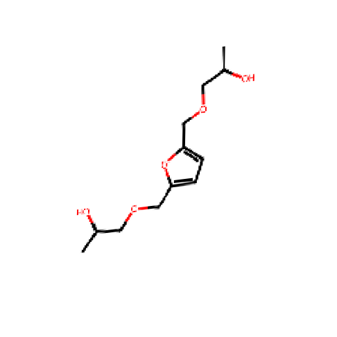 CC(O)COCc1ccc(COCC(C)O)o1